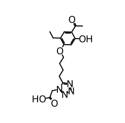 CCc1cc(C(C)=O)c(O)cc1OCCCCc1nnnn1CC(=O)O